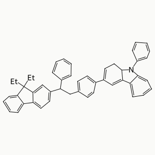 CCC1(CC)c2ccccc2-c2ccc(C(Cc3ccc(C4=CCC5C(=C4)c4ccccc4N5c4ccccc4)cc3)c3ccccc3)cc21